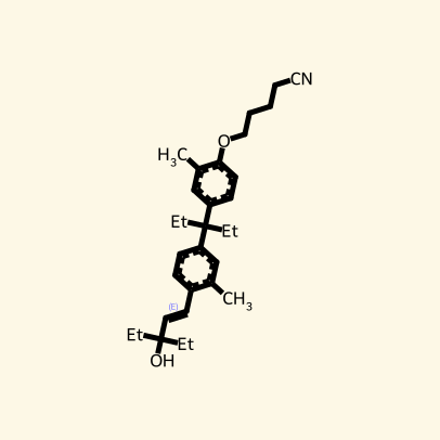 CCC(O)(/C=C/c1ccc(C(CC)(CC)c2ccc(OCCCCC#N)c(C)c2)cc1C)CC